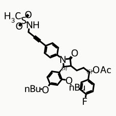 CCCCOc1ccc([C@@H]2C(CC[C@H](OC(C)=O)c3ccc(F)cc3)C(=O)N2c2ccc(C#CCNS(C)(=O)=O)cc2)c(OCCCC)c1